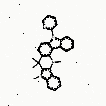 CN1c2c(n(C)c3ccccc23)C(C)(C)c2ccc3c(c21)c1ccccc1n3-c1ccccn1